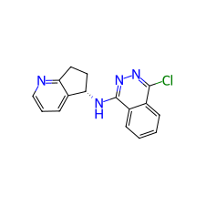 Clc1nnc(N[C@H]2CCc3ncccc32)c2ccccc12